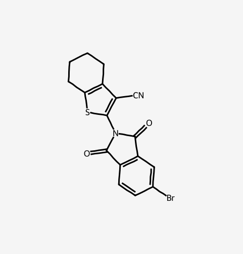 N#Cc1c(N2C(=O)c3ccc(Br)cc3C2=O)sc2c1CCCC2